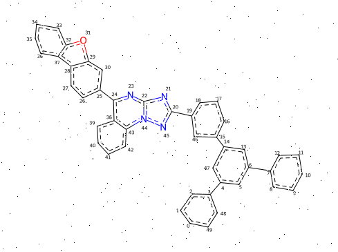 c1ccc(-c2cc(-c3ccccc3)cc(-c3cccc(-c4nc5nc(-c6ccc7c(c6)oc6ccccc67)c6ccccc6n5n4)c3)c2)cc1